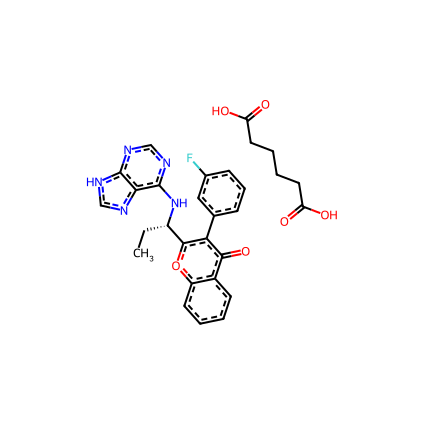 CC[C@H](Nc1ncnc2[nH]cnc12)c1oc2ccccc2c(=O)c1-c1cccc(F)c1.O=C(O)CCCCC(=O)O